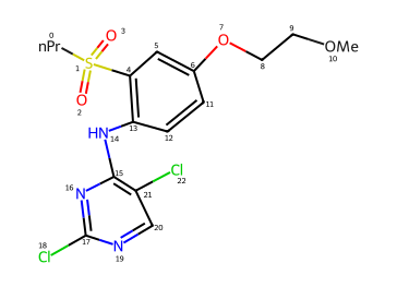 CCCS(=O)(=O)c1cc(OCCOC)ccc1Nc1nc(Cl)ncc1Cl